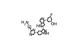 NC1CN(c2cncc(-c3ccc4[nH]nc(-c5cc6c(-c7cc(O)cc(F)c7)nccc6[nH]5)c4c3)n2)C1